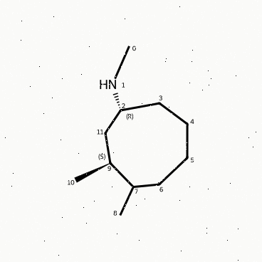 CN[C@@H]1CCCCC(C)[C@@H](C)C1